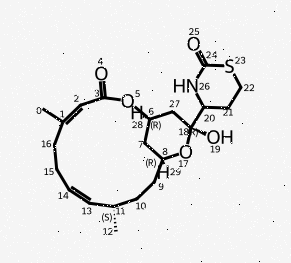 CC1=CC(=O)O[C@@H]2C[C@@H](CC[C@H](C)C=CCC1)O[C@@](O)(C1CCSC(=O)N1)C2